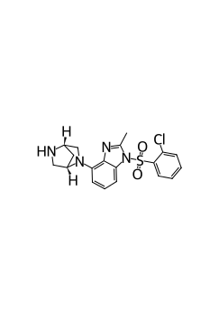 Cc1nc2c(N3C[C@@H]4C[C@H]3CN4)cccc2n1S(=O)(=O)c1ccccc1Cl